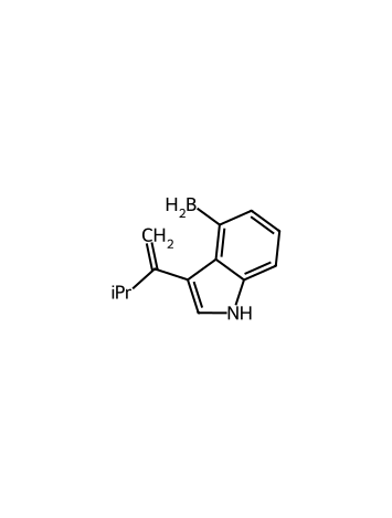 Bc1cccc2[nH]cc(C(=C)C(C)C)c12